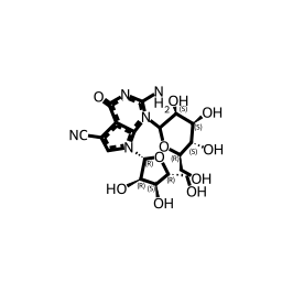 N#Cc1cn([C@@H]2O[C@H](CO)[C@@H](O)[C@H]2O)c2c1c(=O)nc(N)n2C1O[C@H](CO)[C@@H](O)[C@H](O)[C@@H]1O